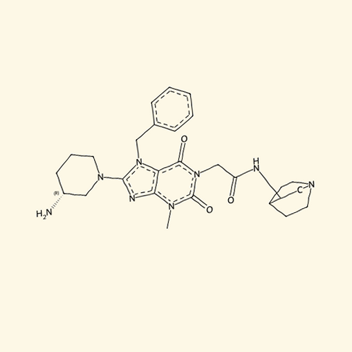 Cn1c(=O)n(CC(=O)NC2CN3CCC2CC3)c(=O)c2c1nc(N1CCC[C@@H](N)C1)n2Cc1ccccc1